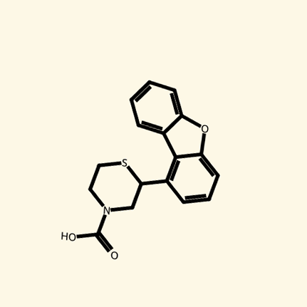 O=C(O)N1CCSC(c2cccc3oc4ccccc4c23)C1